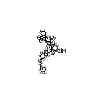 CS(=O)(=O)c1ccccc1N1CCC(NC(=O)C2(NC(=O)c3cc4cc(OCCN5CCCCC5)ccc4o3)CCCCC2)C(=O)C1.Cl